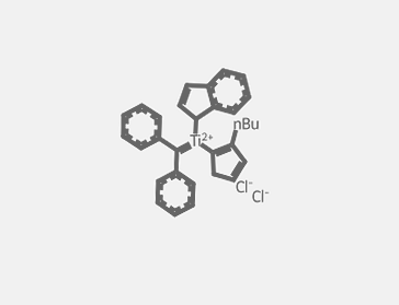 CCCCC1=[C]([Ti+2](=[C](c2ccccc2)c2ccccc2)[CH]2C=Cc3ccccc32)CC=C1.[Cl-].[Cl-]